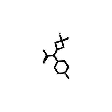 CC(=O)N(C1CCN(C)CC1)C1CC(F)(F)C1